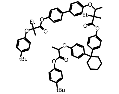 CCC(C)(Oc1ccc(C(C)(C)C)cc1)C(=O)Oc1ccc(-c2ccc(OC(C)C(C)(CC)C(=O)Oc3ccc(C4(c5ccc(OC(C)C(=O)Oc6ccc(C(C)(C)C)cc6)cc5)CCCCC4)cc3)cc2)cc1